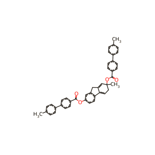 Cc1ccc(-c2ccc(C(=O)Oc3ccc4c(c3)CC3=CC(C)(OC(=O)c5ccc(-c6ccc(C)cc6)cc5)CC=C34)cc2)cc1